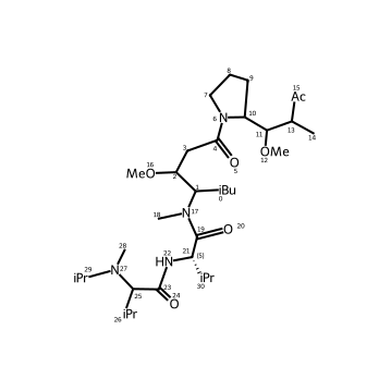 CCC(C)C(C(CC(=O)N1CCCC1C(OC)C(C)C(C)=O)OC)N(C)C(=O)[C@@H](NC(=O)C(C(C)C)N(C)C(C)C)C(C)C